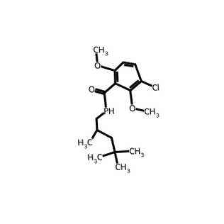 COc1ccc(Cl)c(OC)c1C(=O)PCC(C)CC(C)(C)C